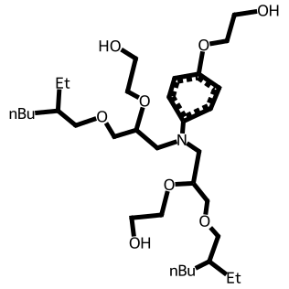 CCCCC(CC)COCC(CN(CC(COCC(CC)CCCC)OCCO)c1ccc(OCCO)cc1)OCCO